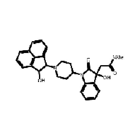 CNC(=O)CC1(O)C(=O)N(C2CCN(C3c4cccc5cccc(c45)C3O)CC2)c2ccccc21